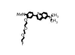 CNc1ccc(-c2ccc3cc(N(C)C)ccc3n2)cc1OCCOCCOCCF